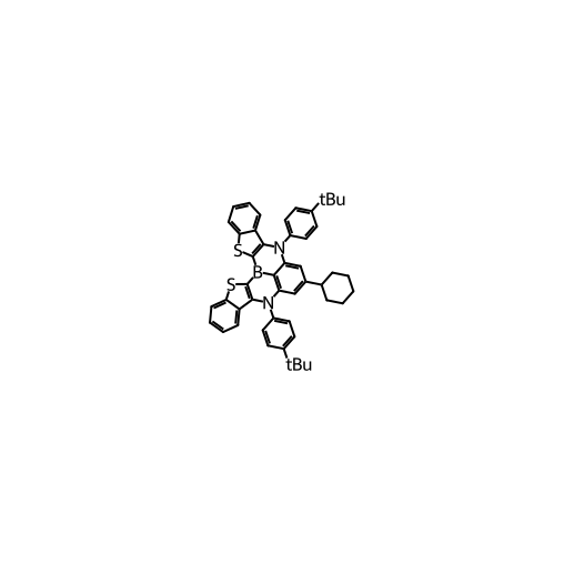 CC(C)(C)c1ccc(N2c3cc(C4CCCCC4)cc4c3B(c3sc5ccccc5c32)c2sc3ccccc3c2N4c2ccc(C(C)(C)C)cc2)cc1